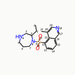 CCC1CNCCCN1S(=O)(=O)c1cccc2cncc(C)c12